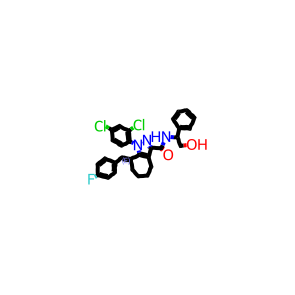 O=C(NC(CO)c1ccccc1)c1nn(-c2ccc(Cl)cc2Cl)c2c1CCCC/C2=C\c1ccc(F)cc1